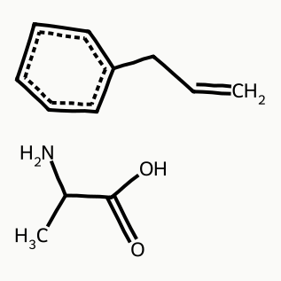 C=CCc1ccccc1.CC(N)C(=O)O